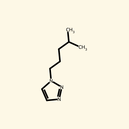 CC(C)CCCn1ccnn1